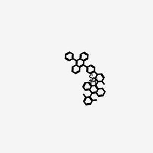 Cc1cccc(C)c1-c1c2c(c(C3C(C)C=CC4c5ccc(-c6c7ccccc7c(-c7ccccc7)c7ccccc67)cc5S[C@H]43)c3ccccc13)CCC=C2